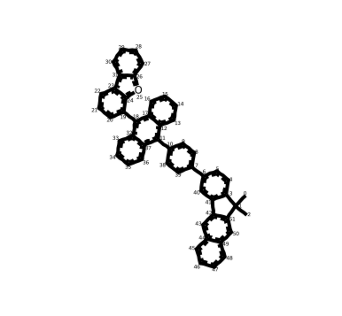 CC1(C)c2ccc(-c3ccc(-c4c5ccccc5c(-c5cccc6c5oc5ccccc56)c5ccccc45)cc3)cc2-c2cc3ccccc3cc21